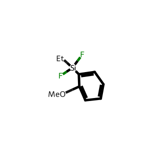 CC[Si](F)(F)c1ccccc1OC